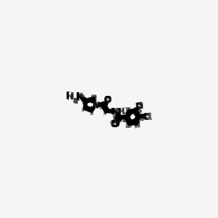 NC1CCN(C(=O)CNC(=O)c2ccc(Cl)c(Cl)c2)C1